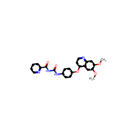 COc1cc2nccc(Oc3ccc(NC(=O)NC(=O)c4ccccn4)cc3)c2cc1OC